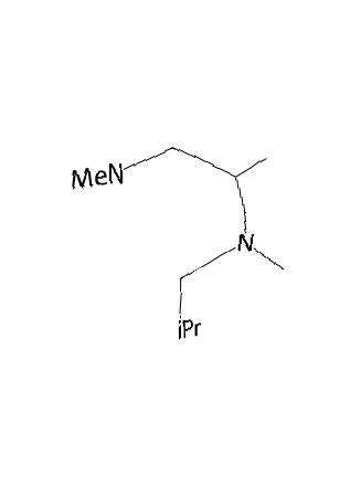 CNCC(C)N(C)CC(C)C